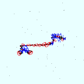 Cc1c(CC(=O)N(C)C)ccc(NC(=O)c2nn([C@@H]3CCCN(C(=O)/C=C/CN(C)CCOCCOCCOCCOCCOCCOCCNC(=O)c4cccc(-c5ccc6c(N7CCOC[C@H]7C)nc(N7CCOC[C@H]7C)nc6n5)c4)C3)c3ncnc(N)c23)c1C